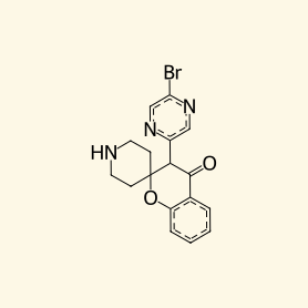 O=C1c2ccccc2OC2(CCNCC2)C1c1cnc(Br)cn1